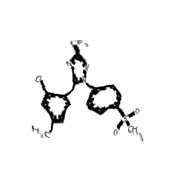 Cc1ccc(-c2nc(C(F)(F)F)nn2-c2ccc(S(C)(=O)=O)cc2)c(Cl)c1